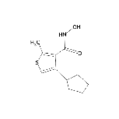 Cc1scc(C2CCCC2)c1C(=O)NO